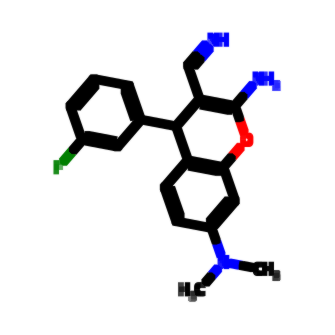 CN(C)c1ccc2c(c1)OC(N)=C(C=N)C2c1cccc(F)c1